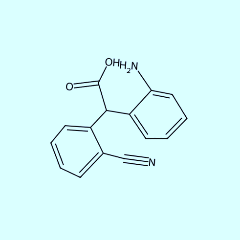 N#Cc1ccccc1C(C(=O)O)c1ccccc1N